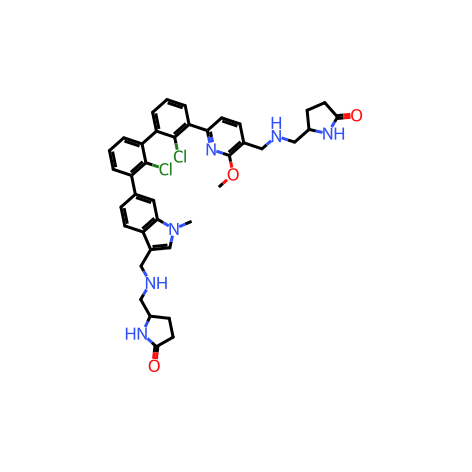 COc1nc(-c2cccc(-c3cccc(-c4ccc5c(CNCC6CCC(=O)N6)cn(C)c5c4)c3Cl)c2Cl)ccc1CNCC1CCC(=O)N1